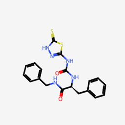 O=C(Nc1n[nH]c(=S)s1)N[C@@H](Cc1ccccc1)C(=O)NCc1ccccc1